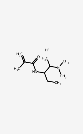 C=C(C)C(=O)NC(CC)C(C)N(C)C.F